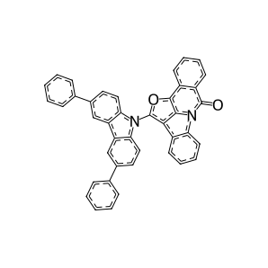 O=c1c2ccccc2c2oc(-n3c4ccc(-c5ccccc5)cc4c4cc(-c5ccccc5)ccc43)c3c4ccccc4n1c23